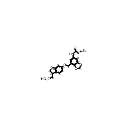 CC(C)(C)OC(=O)Nc1cc(COc2ccc3c(c2)OCC3CC(=O)O)c2c(c1)OCO2